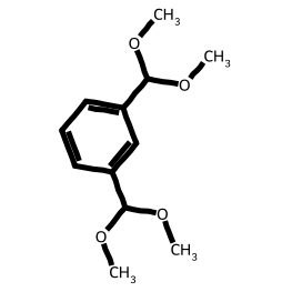 COC(OC)c1cccc(C(OC)OC)c1